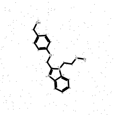 CCOCCn1c(COc2ccc(CO)cc2)nc2ccccc21